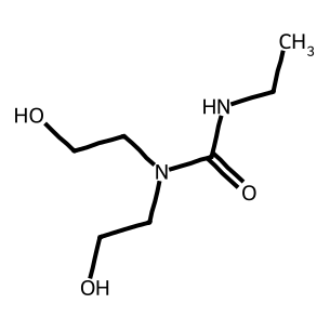 CCNC(=O)N(CCO)CCO